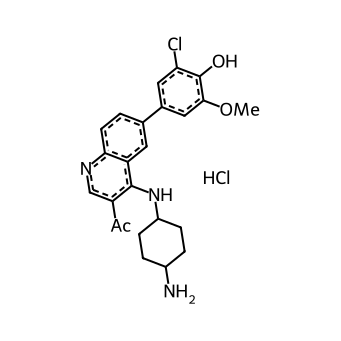 COc1cc(-c2ccc3ncc(C(C)=O)c(NC4CCC(N)CC4)c3c2)cc(Cl)c1O.Cl